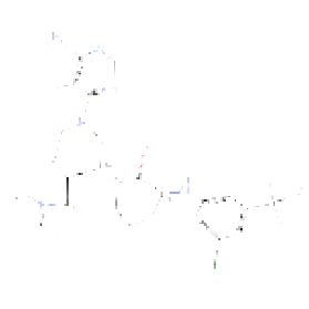 CN(C)C(=O)C1CCN(c2ncnc(N)c2F)C[C@@H]1N1CCC[C@H](Nc2cc(Cl)cc(C(F)(F)F)c2)C1=O